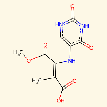 COC(=O)C(Nc1c[nH]c(=O)[nH]c1=O)=C(C)C(=O)O